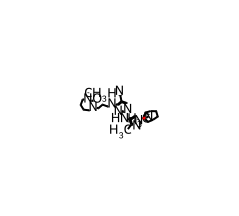 Cc1nn(C2CC3CCC(C2)N3C)cc1Nc1ncc(C#N)c(NCCCN2CCCCN(C)C2=O)n1